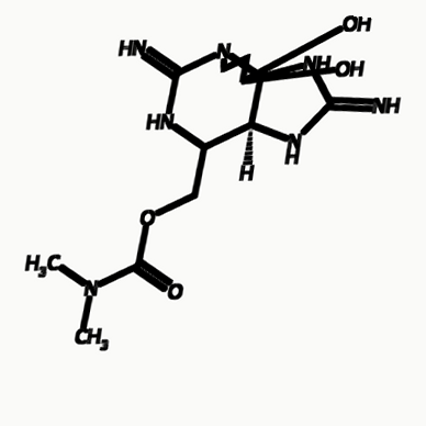 CN(C)C(=O)OCC1NC(=N)N2CCC(O)(O)C23NC(=N)N[C@@H]13